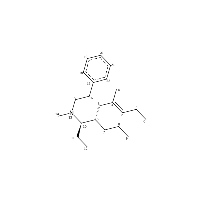 CC/C=C(\C)C[C@H](CCC)[C@@H](CC)N(C)CCc1ccccc1